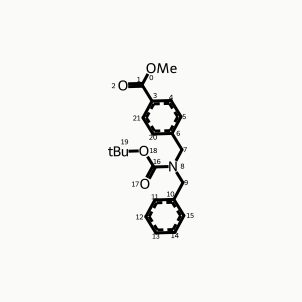 COC(=O)c1ccc(CN(Cc2ccccc2)C(=O)OC(C)(C)C)cc1